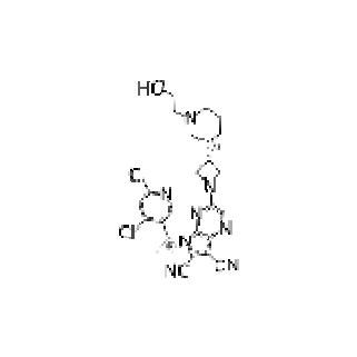 C[C@H](c1cnc(Cl)cc1Cl)n1c(C#N)c(C#N)c2ncc(N3CC([C@H]4CCCN(CCO)C4)C3)nc21